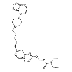 CCN(CC)C(=O)OCOc1ccc2ccc(OCCCCN3CCN(c4cccc5sccc45)CC3)cc2n1